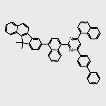 CC1(C)c2ccc(-c3ccc(-c4nc(-c5ccc(-c6ccccc6)cc5)cc(-c5cccc6ccccc56)n4)c4ccccc34)cc2-c2ccc3ccccc3c21